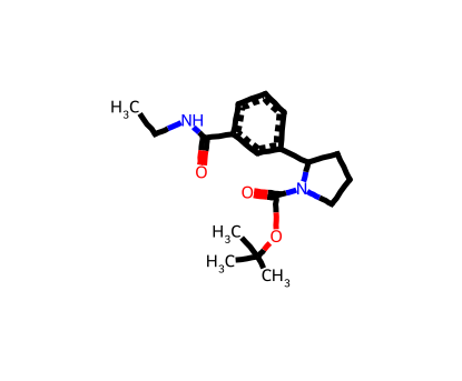 CCNC(=O)c1cccc(C2CCCN2C(=O)OC(C)(C)C)c1